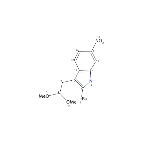 COC(Cc1c(C(C)(C)C)[nH]c2cc([N+](=O)[O-])ccc12)OC